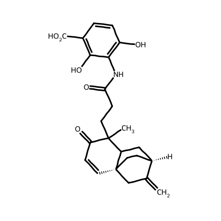 C=C1C[C@@]23C=CC(=O)C(C)(CCC(=O)Nc4c(O)ccc(C(=O)O)c4O)C2C[C@@H]1CC3